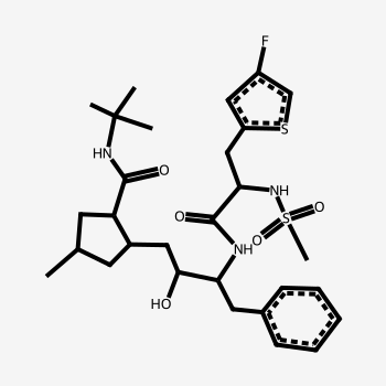 CC1CC(CC(O)C(Cc2ccccc2)NC(=O)C(Cc2cc(F)cs2)NS(C)(=O)=O)C(C(=O)NC(C)(C)C)C1